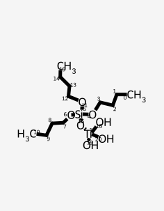 CCCCO[Si](OCCCC)(OCCCC)[O][Ti]([OH])([OH])[OH]